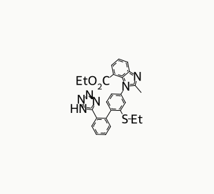 CCOC(=O)c1cccc2nc(C)n(-c3ccc(-c4ccccc4-c4nnn[nH]4)c(SCC)c3)c12